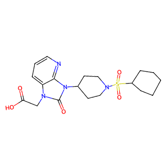 O=C(O)Cn1c(=O)n(C2CCN(S(=O)(=O)C3CCCCC3)CC2)c2ncccc21